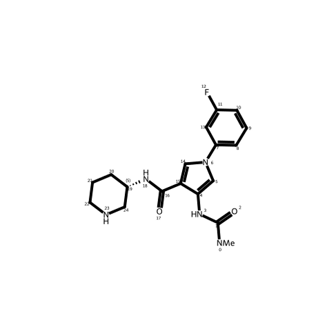 CNC(=O)Nc1cn(-c2cccc(F)c2)cc1C(=O)N[C@H]1CCCNC1